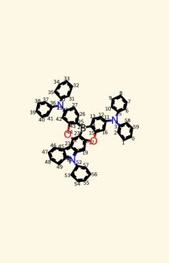 c1ccc(N(c2ccccc2)c2ccc3c(c2)Oc2cc4c(c5c2B3c2ccc(N(c3ccccc3)c3ccccc3)cc2O5)c2ccccc2n4-c2ccccc2)cc1